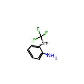 Nc1cccc[c]1[Sn][C](F)(F)F